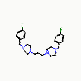 Fc1ccc(CN2CCN(CCCN3CCN(Cc4ccc(F)cc4)CC3)CC2)cc1